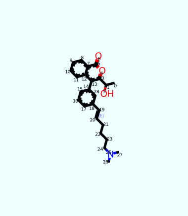 CC(O)c1oc(=O)c2ccccc2c1-c1cccc(/C=C/CCCCN(C)C)c1